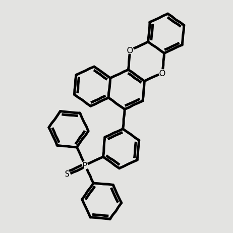 S=P(c1ccccc1)(c1ccccc1)c1cccc(-c2cc3c(c4ccccc24)Oc2ccccc2O3)c1